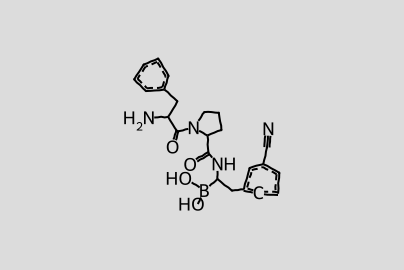 N#Cc1cccc(CC(NC(=O)C2CCCN2C(=O)C(N)Cc2ccccc2)B(O)O)c1